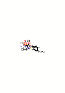 CCOP(=O)(OCC)C(N)(C(=O)OCc1ccc(OC)cc1)N(S)C=O